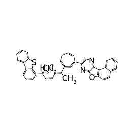 C=C(/C=C\C(C)=C(/C)C1=CCC=CC(c2cnc3c(n2)oc2ccc4ccccc4c23)=C1)c1cccc2c1sc1ccccc12